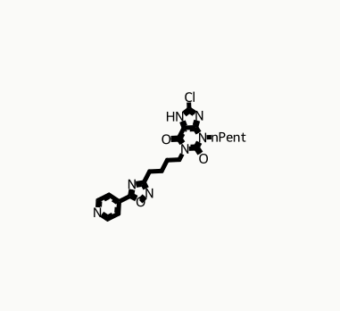 CCCCCn1c(=O)n(CCCCc2noc(-c3ccncc3)n2)c(=O)c2[nH]c(Cl)nc21